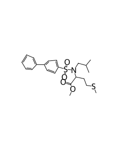 COC(=O)C(CCSC)N(CC(C)C)S(=O)(=O)c1ccc(-c2ccccc2)cc1